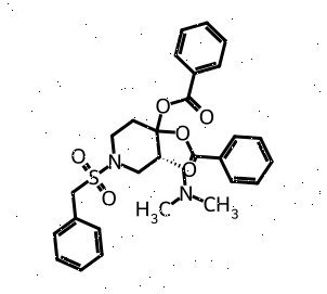 CN(C)C[C@@H]1CN(S(=O)(=O)Cc2ccccc2)CCC1(OC(=O)c1ccccc1)OC(=O)c1ccccc1